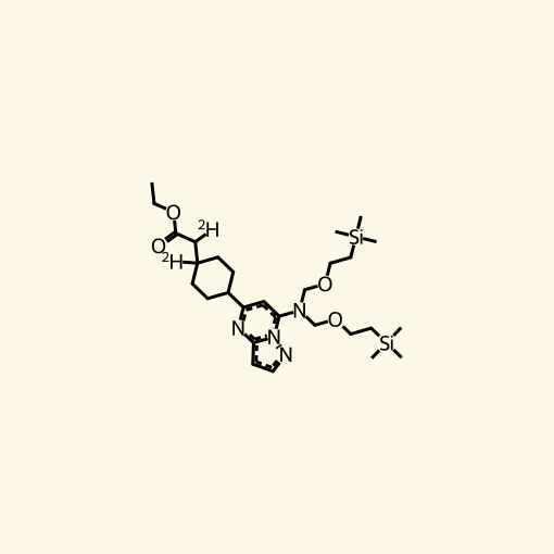 [2H]C(C(=O)OCC)C1([2H])CCC(c2cc(N(COCC[Si](C)(C)C)COCC[Si](C)(C)C)n3nccc3n2)CC1